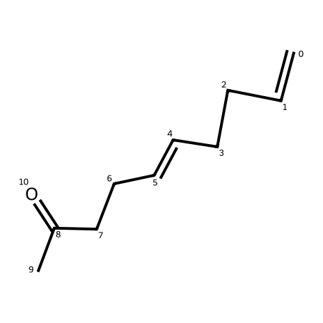 C=CCCC=CCCC(C)=O